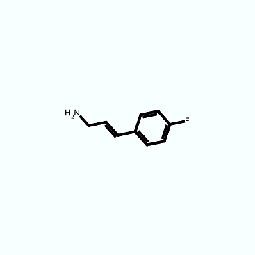 NC/C=C/c1ccc(F)cc1